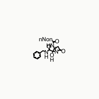 CCCCCCCCCC(=O)N[C@]12CC(=O)N1C2(O)C(=O)NCc1ccccc1